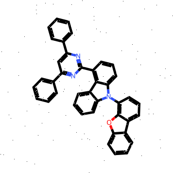 c1ccc(-c2cc(-c3ccccc3)nc(-c3cccc4c3c3ccccc3n4-c3cccc4c3oc3ccccc34)n2)cc1